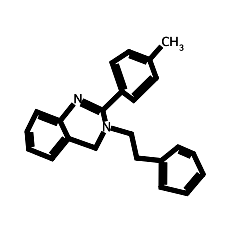 Cc1ccc(C2=Nc3ccccc3CN2CCc2ccccc2)cc1